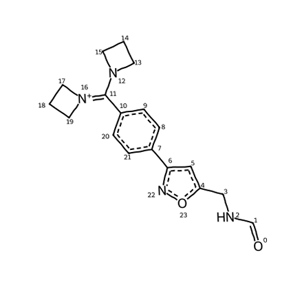 O=CNCc1cc(-c2ccc(C(N3CCC3)=[N+]3CCC3)cc2)no1